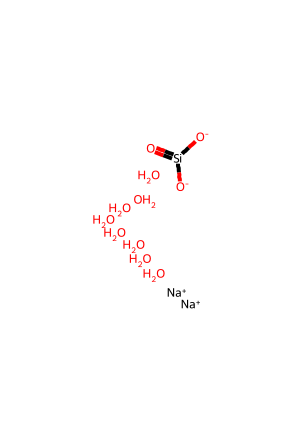 O.O.O.O.O.O.O.O.O=[Si]([O-])[O-].[Na+].[Na+]